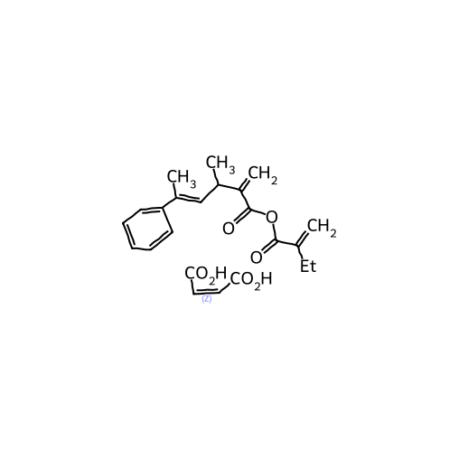 C=C(CC)C(=O)OC(=O)C(=C)C(C)C=C(C)c1ccccc1.O=C(O)/C=C\C(=O)O